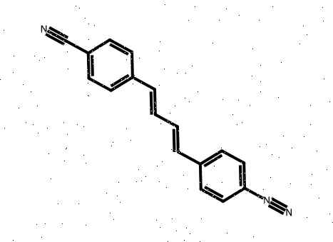 N#Cc1ccc(C=CC=Cc2ccc([N+]#N)cc2)cc1